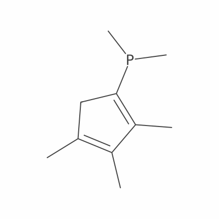 CC1=C(C)C(C)=C(P(C)C)C1